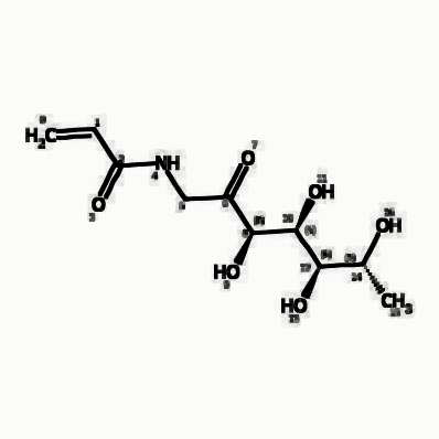 C=CC(=O)NCC(=O)[C@H](O)[C@@H](O)[C@H](O)[C@@H](C)O